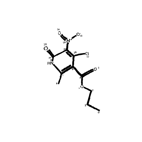 CC[CH]OC(=O)c1c(C)[nH]c(=O)c([N+](=O)[O-])c1Cl